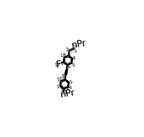 CCC/C=C/c1ccc(C#Cc2ccc(CCC)cc2)c(F)c1